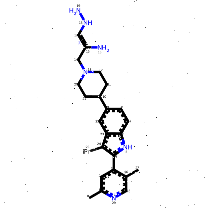 Cc1cc(-c2[nH]c3ccc(C4CCN(C/C(N)=C/NN)CC4)cc3c2C(C)C)c(C)cn1